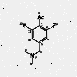 CC(=O)c1c(F)cc(CN(C)C)cc1F